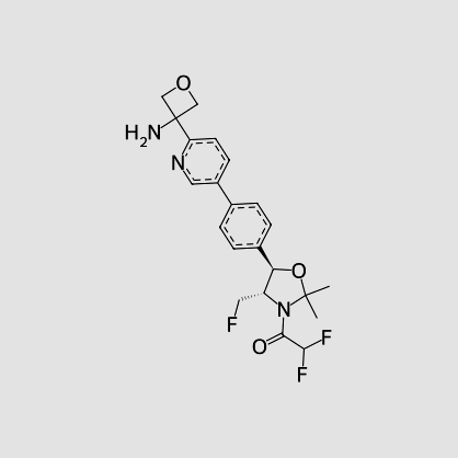 CC1(C)O[C@H](c2ccc(-c3ccc(C4(N)COC4)nc3)cc2)[C@@H](CF)N1C(=O)C(F)F